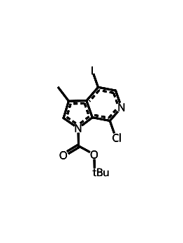 Cc1cn(C(=O)OC(C)(C)C)c2c(Cl)ncc(I)c12